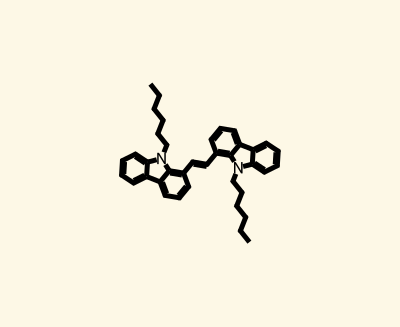 CCCCCCn1c2ccccc2c2cccc(/C=C/c3cccc4c5ccccc5n(CCCCCC)c34)c21